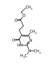 CCOC(=O)CCc1c(C)nc(N(C)C)[nH]c1=O